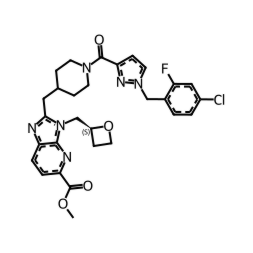 COC(=O)c1ccc2nc(CC3CCN(C(=O)c4ccn(Cc5ccc(Cl)cc5F)n4)CC3)n(C[C@@H]3CCO3)c2n1